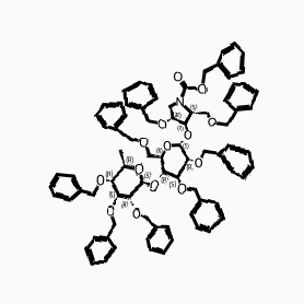 C[C@H]1O[C@@H](O[C@H]2[C@H](OCc3ccccc3)[C@@H](OCc3ccccc3)[C@@H](O[C@H]3[C@H](OCc4ccccc4)CN(C(=O)OCc4ccccc4)[C@H]3COCc3ccccc3)O[C@@H]2COCc2ccccc2)[C@H](OCc2ccccc2)[C@@H](OCc2ccccc2)[C@@H]1OCc1ccccc1